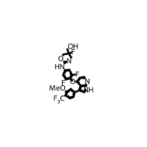 COc1cc(-c2c[nH]c3nccc(Oc4c(F)cc(NC5=NCC(F)(CO)CO5)cc4F)c23)ccc1C(F)(F)F